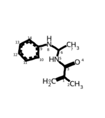 C=C(C)C(=O)NC(C)Nc1ccccc1